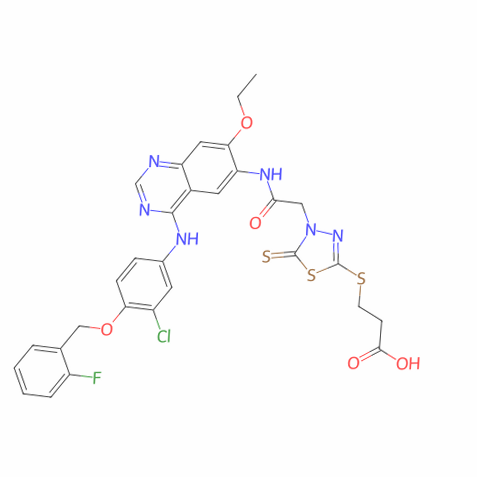 CCOc1cc2ncnc(Nc3ccc(OCc4ccccc4F)c(Cl)c3)c2cc1NC(=O)Cn1nc(SCCC(=O)O)sc1=S